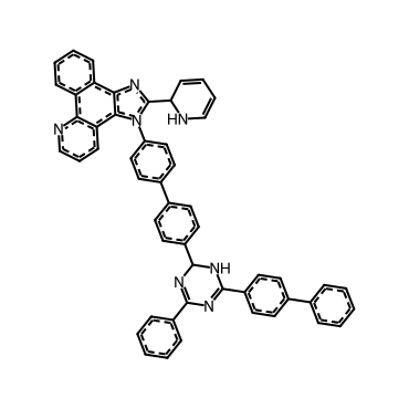 C1=CNC(c2nc3c4ccccc4c4ncccc4c3n2-c2ccc(-c3ccc(C4N=C(c5ccccc5)N=C(c5ccc(-c6ccccc6)cc5)N4)cc3)cc2)C=C1